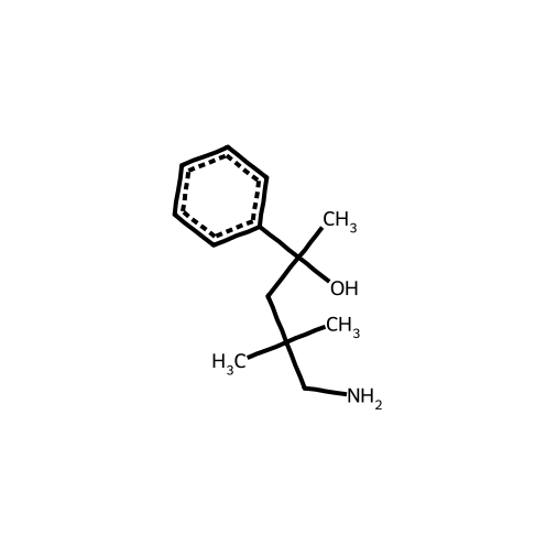 CC(C)(CN)CC(C)(O)c1ccccc1